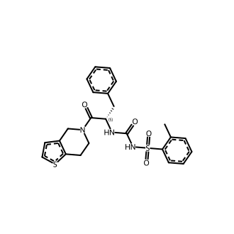 Cc1ccccc1S(=O)(=O)NC(=O)N[C@@H](Cc1ccccc1)C(=O)N1CCc2sccc2C1